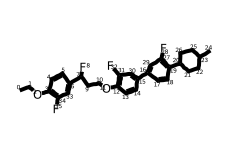 CCOc1ccc(C(F)CCOc2ccc(-c3ccc(C4CCC(C)CC4)c(F)c3)cc2F)cc1F